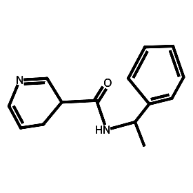 CC(NC(=O)C1C=NC=CC1)c1ccccc1